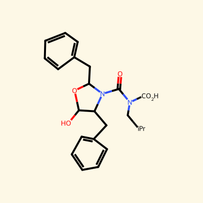 CC(C)CN(C(=O)O)C(=O)N1C(Cc2ccccc2)OC(O)C1Cc1ccccc1